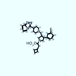 O=C(O)C(CC1CCC1)N1CC(CN2CCC(c3nnc4ccccn34)CC2)C(c2cccc(F)c2)C1